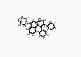 c1ccc(C2=C(c3ccccc3)c3c(cc(N4CCOCC4)c4ccccc34)OC2)cc1